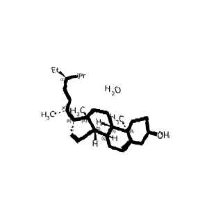 CC[C@H](CC[C@@H](C)[C@H]1CC[C@H]2[C@@H]3CC=C4CC(O)CC[C@]4(C)[C@H]3CC[C@]12C)C(C)C.O